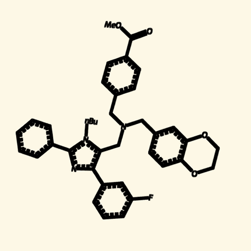 CCCCn1c(-c2ccccc2)nc(-c2cccc(F)c2)c1CN(Cc1ccc(C(=O)OC)cc1)Cc1ccc2c(c1)OCCO2